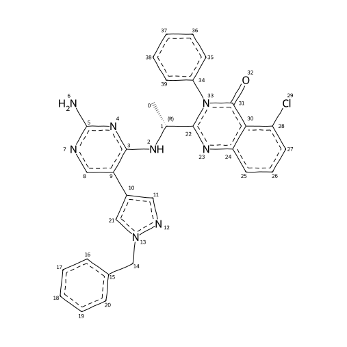 C[C@@H](Nc1nc(N)ncc1-c1cnn(Cc2ccccc2)c1)c1nc2cccc(Cl)c2c(=O)n1-c1ccccc1